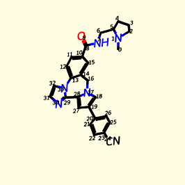 CN1CCCC1CNC(=O)c1ccc2c(c1)Cn1cc(-c3ccc(C#N)cc3)cc1-c1nccn1-2